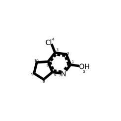 Oc1cc(Cl)c2c(n1)CCC2